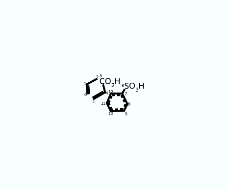 C=CC.C=CC(=O)O.O=S(=O)(O)c1ccccc1